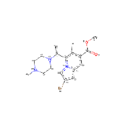 C=C(c1c(C)c(C(=O)OC(C)C)cc2cc(Br)cn12)N1CCN(C)CC1